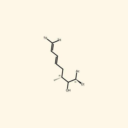 [2H]C([2H])=CC=CC[C@@H](C)C(O)[C@H](CC)C(C)=O